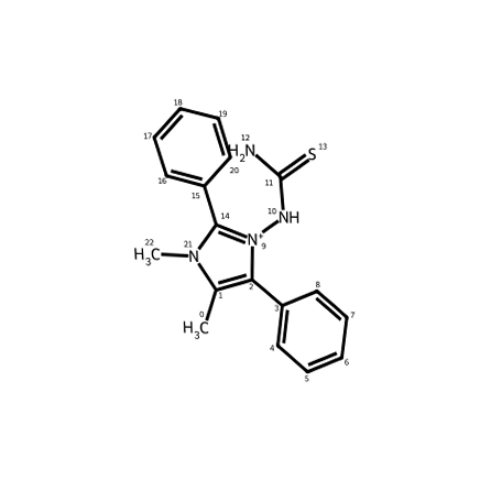 Cc1c(-c2ccccc2)[n+](NC(N)=S)c(-c2ccccc2)n1C